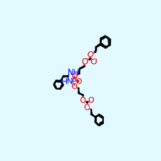 N=C(Cc1ccccc1)NP(=O)(OCCCOC(=O)OCCc1ccccc1)OCCCOC(=O)OCCc1ccccc1